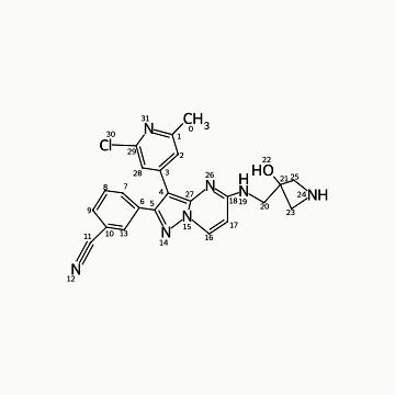 Cc1cc(-c2c(-c3cccc(C#N)c3)nn3ccc(NCC4(O)CNC4)nc23)cc(Cl)n1